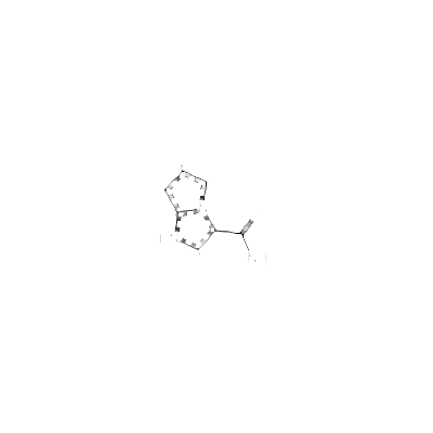 NC(=O)c1c[nH]c2cccn12